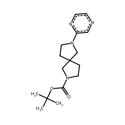 CC(C)(C)OC(=O)N1CCC2(CCN(c3cnccn3)C2)C1